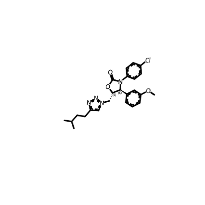 COc1cccc([C@H]2[C@H](Cn3cc(CCC(C)C)nn3)OC(=O)N2c2ccc(Cl)cc2)c1